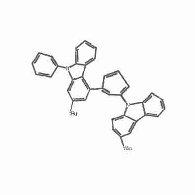 CC(C)(C)c1ccc2c(c1)c1ccccc1n2-c1cccc(-c2cc(C(C)(C)C)cc3c2c2ccccc2n3-c2ccccc2)c1